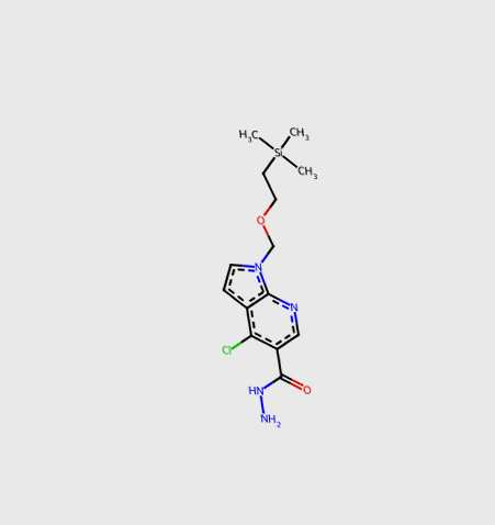 C[Si](C)(C)CCOCn1ccc2c(Cl)c(C(=O)NN)cnc21